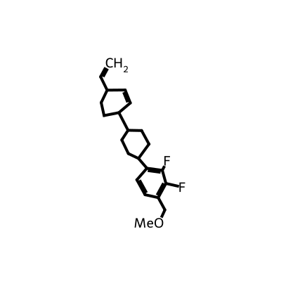 C=CC1C=CC(C2CCC(c3ccc(COC)c(F)c3F)CC2)CC1